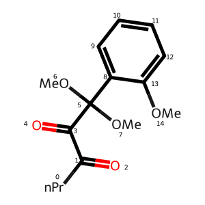 CCCC(=O)C(=O)C(OC)(OC)c1ccccc1OC